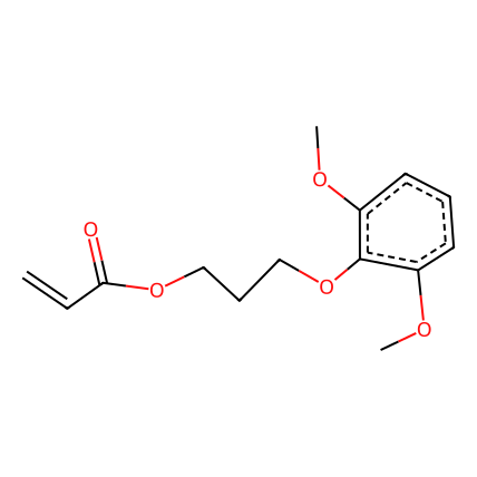 C=CC(=O)OCCCOc1c(OC)cccc1OC